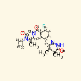 Cc1c(Cc2ccc(F)c(C(=O)N3CC(=O)N(C4CCC4)[C@@H](C)C3)c2)n[nH]c(=O)c1C